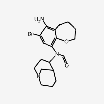 Nc1c(Br)cc(N(C=O)C2CCN3CCCC2C3)c2c1CCCCO2